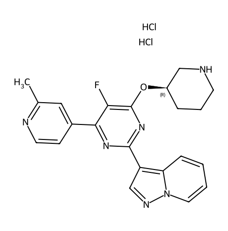 Cc1cc(-c2nc(-c3cnn4ccccc34)nc(O[C@@H]3CCCNC3)c2F)ccn1.Cl.Cl